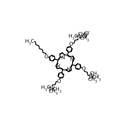 CCCCCCCCOc1ccc(C2=C3C=CC(=N3)C(c3ccc(OCCC[N+](C)(C)C)cc3)=C3C=CC(=N3)C(c3ccc(OCCC[N+](C)(C)C)cc3)=C3C=CC(=N3)C(c3ccc(OCCC[N+](C)(C)C)cc3)=C3C=CC2=N3)cc1.[Cl-].[Cl-].[Cl-]